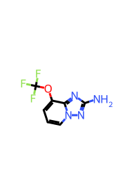 Nc1nc2c(OC(F)(F)F)cccn2n1